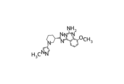 COc1cccc2c1nc(N)n1nc([C@@H]3CCCN(c4cnn(C)c4)C3)nc21